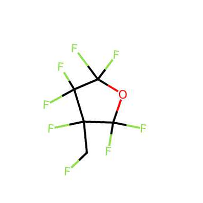 FCC1(F)C(F)(F)OC(F)(F)C1(F)F